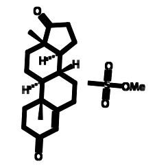 COS(C)(=O)=O.C[C@]12CCC(=O)C=C1CC[C@@H]1[C@@H]2CC[C@]2(C)C(=O)CC[C@@H]12